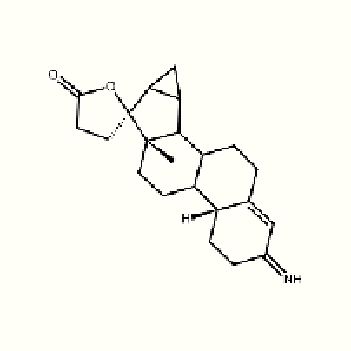 C[C@]12CCC3C(CCC4=CC(=N)CC[C@@H]43)C1C1CC1[C@@]21CCC(=O)O1